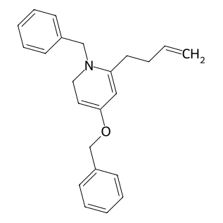 C=CCCC1=CC(OCc2ccccc2)=CCN1Cc1ccccc1